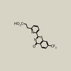 O=C(O)CCc1cccc(-c2nc(=O)c3ccc(C(F)(F)F)cc3s2)n1